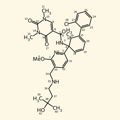 COc1nc(C2(NC(=O)c3cn(C)c(=O)n(C)c3=O)C=CC=C(c3ccccc3Cl)C2C)ccc1CNCCC(C)(C)O